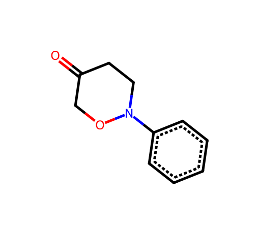 O=C1CCN(c2ccccc2)OC1